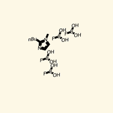 CCCCc1nccn1C.OB(O)F.OB(O)F.OB(O)F.OB(O)F